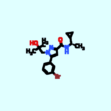 C[C@H](NC(=O)c1cc(-c2cccc(Br)c2)n(CC(C)(C)O)n1)C1CC1